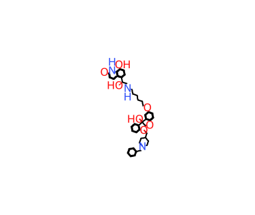 O=C(OCC1CCN(Cc2ccccc2)CC1)C(O)(c1ccccc1)c1cccc(OCCCCCCNC[C@@H](O)c2ccc(O)c3[nH]c(=O)ccc23)c1